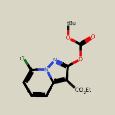 CCOC(=O)c1c(OC(=O)OC(C)(C)C)nn2c(Cl)cccc12